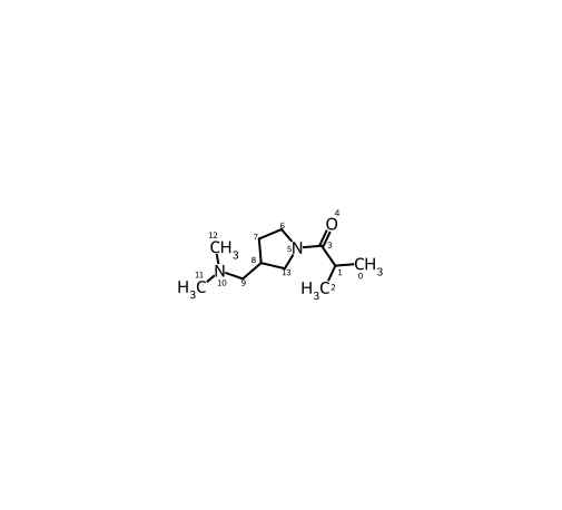 CC(C)C(=O)N1CCC(CN(C)C)C1